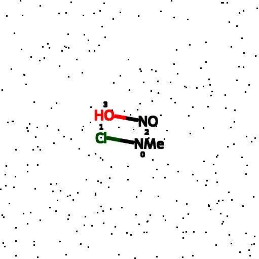 CNCl.O=NO